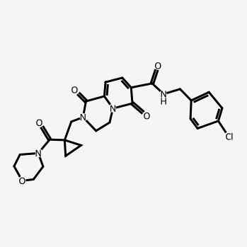 O=C(NCc1ccc(Cl)cc1)c1ccc2n(c1=O)CCN(CC1(C(=O)N3CCOCC3)CC1)C2=O